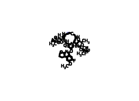 CC[C@@H]1O[C@@H]2C=C([C@H]1NC(=O)OC(C)(C)C(F)(F)F)N1C[C@H](Oc3nc4c(c5cc(OC)c(F)cc35)CCCO4)C[C@H]1C(=O)N[C@]1(C(=O)NS(=O)(=O)C3(C)CC3)C[C@H]1/C=C\CC2